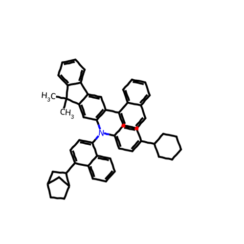 CC1(C)c2ccccc2-c2cc(-c3cccc4ccccc34)c(N(c3ccc(C4CCCCC4)cc3)c3ccc(C4CC5CCC4C5)c4ccccc34)cc21